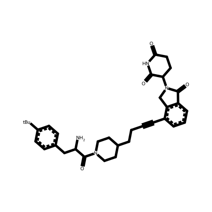 CC(C)(C)c1ccc(CC(N)C(=O)N2CCC(CCC#Cc3cccc4c3CN(C3CCC(=O)NC3=O)C4=O)CC2)cc1